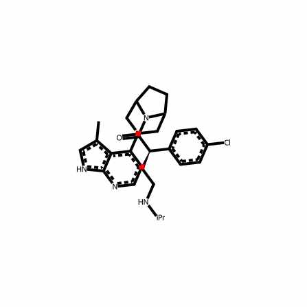 Cc1c[nH]c2nccc(N3CC4CCC(C3)N4C(=O)[C@H](CCNC(C)C)c3ccc(Cl)cc3)c12